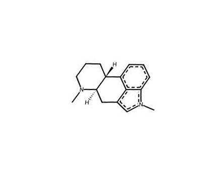 CN1CCC[C@@H]2c3cccc4c3c(cn4C)C[C@H]21